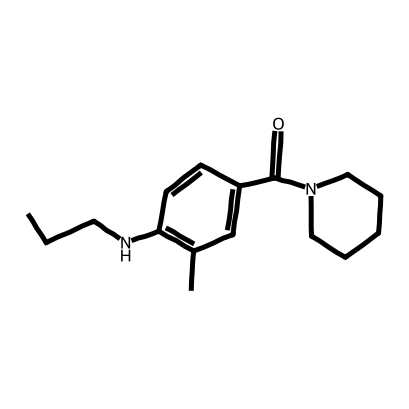 CCCNc1ccc(C(=O)N2CCCCC2)cc1C